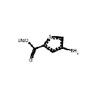 Bc1csc(C(=O)OC)c1